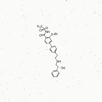 CC(C)Sc1cc(-c2ccc(CCNC[C@H](O)c3ccccc3)cc2)ccc1C(=O)NS(C)(=O)=O